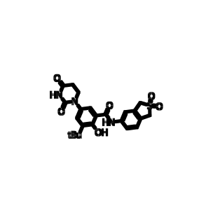 CC(C)(C)c1cc(N2CCC(=O)NC2=O)cc(C(=O)Nc2ccc3c(c2)CS(=O)(=O)C3)c1O